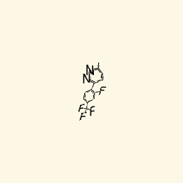 Cc1ccc(-c2ccc(C(F)(F)F)cc2F)nn1